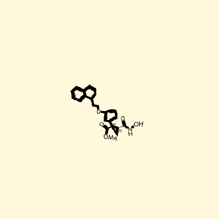 COC(=O)[C@]1(c2cccc(OCCc3cccc4ccccc34)c2)C[C@H]1C(=O)NO